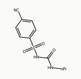 CCCNC(=O)NS(=O)(=O)c1ccc(C#N)cc1